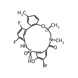 Cc1ccc2c(c1)-c1cc(c(F)cc1F)NS(=O)(=O)c1cc(cc(Br)c1O)C(=O)N(C)C[C@H](C)O2